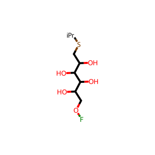 CC(C)SCC(O)C(O)C(O)C(O)COF